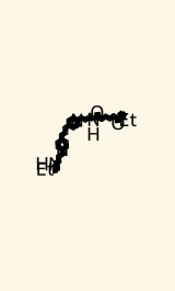 CCC(C)(C)NCCCN1CCC(CCCC2CCN(CCCNC(=O)CCCCC(=O)C(C)(C)CC)CC2)CC1